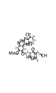 C#CCNC(=O)[C@@H]1C[C@@H](Oc2cc3c(Nc4cccc(Cl)c4F)ncnc3cc2OC)CN1C